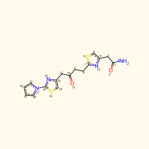 NC(=O)Cc1csc(CCC(=O)Cc2csc(-n3cccc3)n2)n1